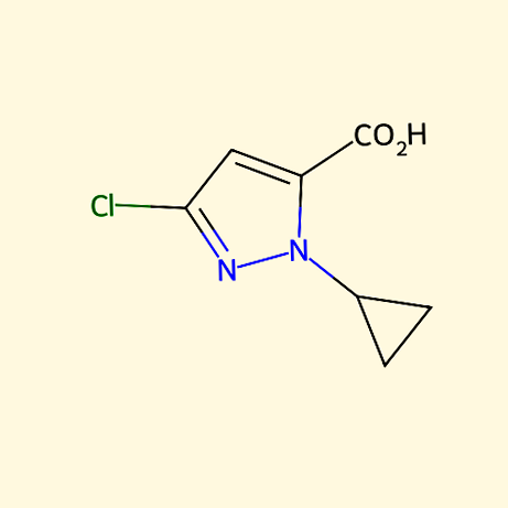 O=C(O)c1cc(Cl)nn1C1CC1